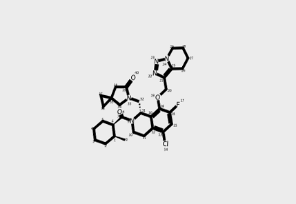 C[C@H]1CCCC[C@H]1C(=O)N1CCc2c(Cl)cc(F)c(OCc3nnn4c3CCCC4)c2[C@H]1CN1CC2(CC2)CC1=O